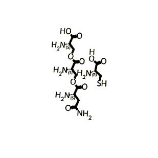 NC(=O)C[C@H](N)C(=O)OC[C@H](N)C(=O)OC[C@H](N)C(=O)O.N[C@@H](CS)C(=O)O